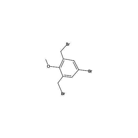 COc1c(CBr)cc(Br)cc1CBr